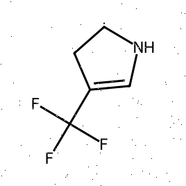 FC(F)(F)C1=CN[CH]C1